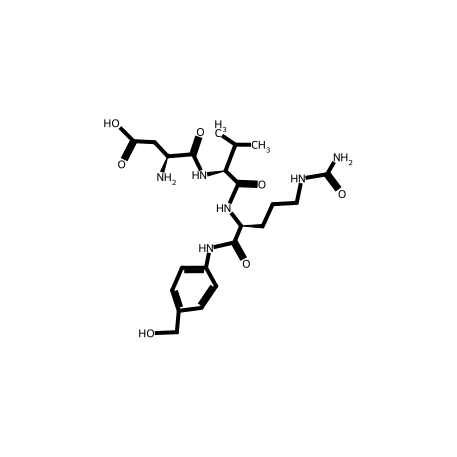 CC(C)[C@H](NC(=O)[C@@H](N)CC(=O)O)C(=O)N[C@@H](CCCNC(N)=O)C(=O)Nc1ccc(CO)cc1